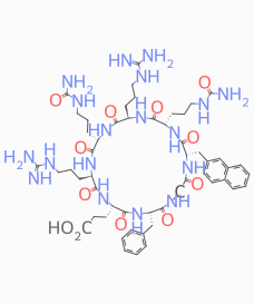 N=C(N)NCCC[C@H]1NC(=O)[C@H](CCCNC(N)=O)NC(=O)[C@@H](CCCNC(=N)N)NC(=O)[C@H](CCCNC(N)=O)NC(=O)[C@H](Cc2ccc3ccccc3c2)NC(=O)CNC(=O)[C@H](Cc2ccccc2)NC(=O)[C@H](CCC(=O)O)NC1=O